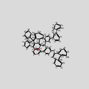 c1ccc(-c2ccc(Cc3cc4ccccc4c4ccccc34)cc2N(c2cccc(-c3cccc4c3oc3ccccc34)c2)c2cccc3c2-c2ccccc2C3(c2ccccc2)c2ccccc2)cc1